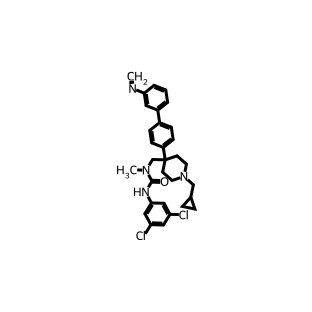 C=Nc1cccc(-c2ccc(C3(CN(C)C(=O)Nc4cc(Cl)cc(Cl)c4)CCN(CC4CC4)CC3)cc2)c1